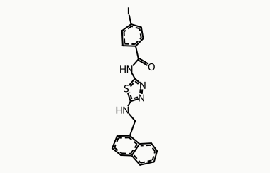 O=C(Nc1nnc(NCc2cccc3ccccc23)s1)c1ccc(I)cc1